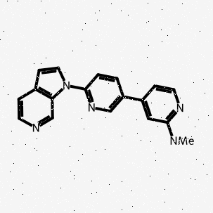 CNc1cc(-c2ccc(-n3ccc4ccncc43)nc2)ccn1